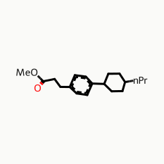 CCCC1CCC(c2ccc(CCC(=O)OC)cc2)CC1